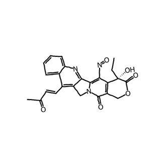 CC[C@@]1(O)C(=O)OCc2c1c(N=O)c1n(c2=O)Cc2c-1nc1ccccc1c2/C=C/C(C)=O